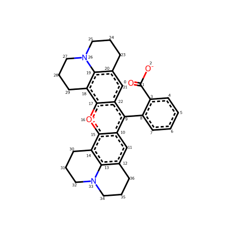 O=C([O-])c1ccccc1-c1c2cc3c4c(c2[o+]c2c5c6c(cc12)CCCN6CCC5)CCCN4CCC3